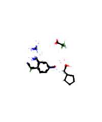 N=C(N)Nc1ncc(Cl)c2ccc(C(=O)N[C@H](C(=O)O)C3CCCC3)cc12.O=C(O)C(F)(F)F